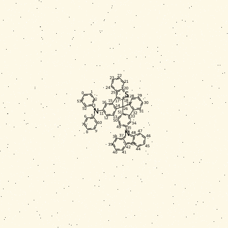 c1ccc(N(c2ccccc2)c2ccc3c(c2)-c2c(sc4ccccc24)C32c3ccccc3-c3cc(-n4c5ccccc5c5ccccc54)ccc32)cc1